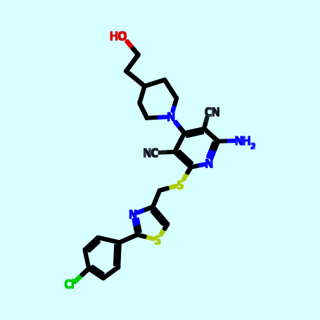 N#Cc1c(N)nc(SCc2csc(-c3ccc(Cl)cc3)n2)c(C#N)c1N1CCC(CCO)CC1